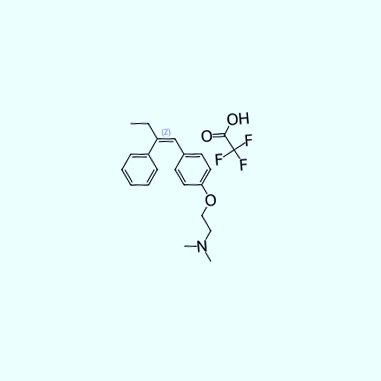 CC/C(=C/c1ccc(OCCN(C)C)cc1)c1ccccc1.O=C(O)C(F)(F)F